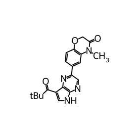 CN1C(=O)COc2ccc(-c3cnc4[nH]cc(C(=O)C(C)(C)C)c4n3)cc21